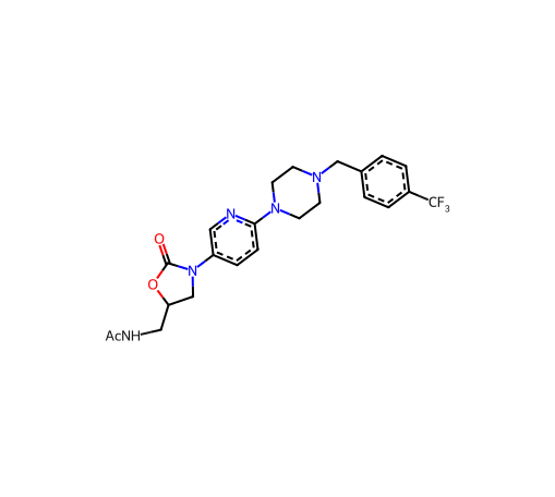 CC(=O)NCC1CN(c2ccc(N3CCN(Cc4ccc(C(F)(F)F)cc4)CC3)nc2)C(=O)O1